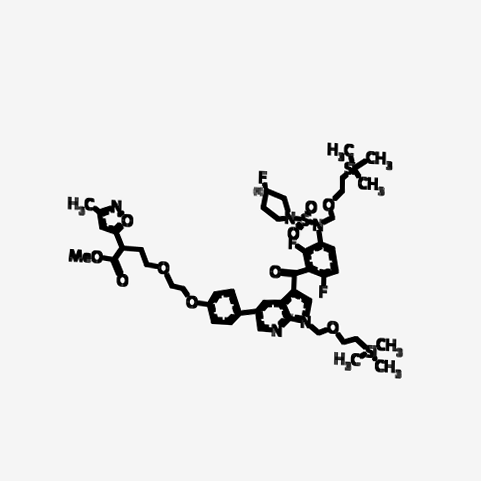 COC(=O)C(CCOCCOc1ccc(-c2cnc3c(c2)c(C(=O)c2c(F)ccc(N(COCC[Si](C)(C)C)S(=O)(=O)N4CC[C@@H](F)C4)c2F)cn3COCC[Si](C)(C)C)cc1)c1cc(C)no1